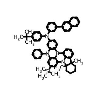 CC(C)(C)c1ccc(N(c2cccc(-c3ccc4ccccc4c3)c2)c2ccc3c(c2)N(c2ccccc2)c2cc([Si](C)(C)C)cc4c2B3c2cccc3c2N4C2(C)CCCCC32C)cc1